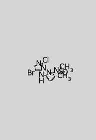 CS(C)(=O)=Nc1cccc(Nc2nc(Cl)ncc2Br)n1